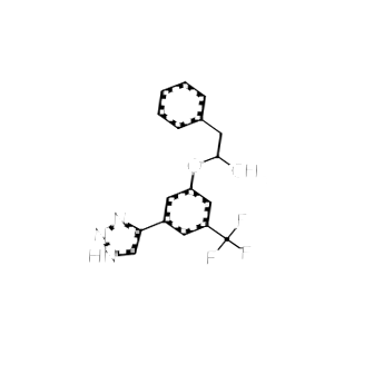 CC(Cc1ccccc1)Oc1cc(-c2c[nH]nn2)cc(C(F)(F)F)c1